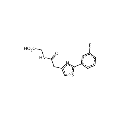 O=C(O)CNC(=O)Cc1csc(-c2cccc(F)c2)n1